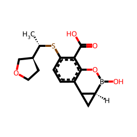 C[C@H](Sc1ccc2c(c1C(=O)O)OB(O)[C@H]1CC21)[C@H]1CCOC1